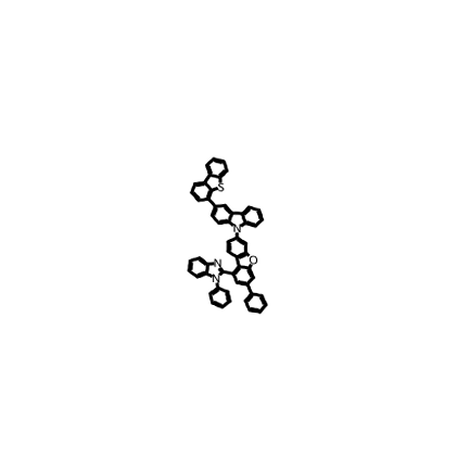 c1ccc(-c2cc(-c3nc4ccccc4n3-c3ccccc3)c3c(c2)oc2cc(-n4c5ccccc5c5cc(-c6cccc7c6sc6ccccc67)ccc54)ccc23)cc1